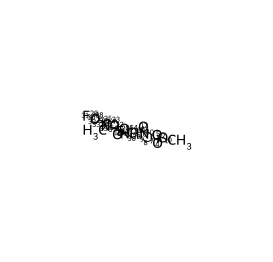 CCOC(=O)OC1CCCN(C(=O)[C@H]2CC[C@H](NS(=O)(=O)c3ccc4cc(-c5ccc(F)cc5)n(C)c4c3)CC2)C1